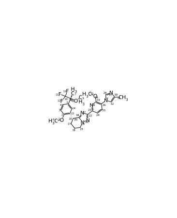 COc1ccc([C@@](C)(OC)C(F)(F)F)cc1[C@H]1CCCn2nc(-c3ccc(-n4cnc(C)c4)c(OC)n3)nc21